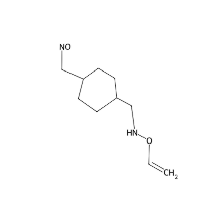 C=CONCC1CCC(CN=O)CC1